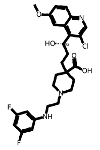 COc1ccc2ncc(Cl)c([C@@H](O)CCC3(C(=O)O)CCN(CCNc4cc(F)cc(F)c4)CC3)c2c1